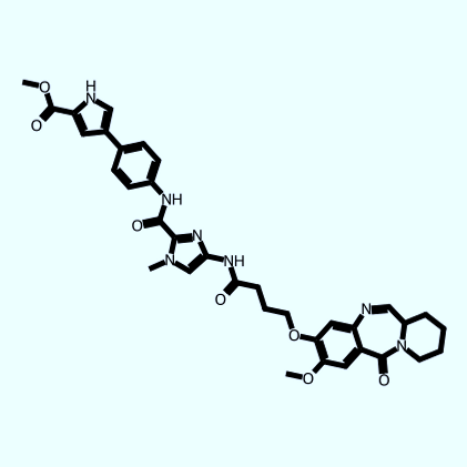 COC(=O)c1cc(-c2ccc(NC(=O)c3nc(NC(=O)CCCOc4cc5c(cc4OC)C(=O)N4CCCCC4C=N5)cn3C)cc2)c[nH]1